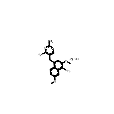 COc1ccc2c(Cc3cnc(N)nc3N)cc(OC)c(N)c2c1.Cl.Cl